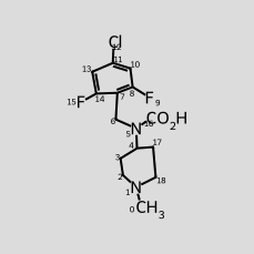 CN1CCC(N(Cc2c(F)cc(Cl)cc2F)C(=O)O)CC1